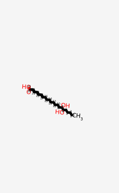 CCCCCC(O)C(O)CCCCCCCCC=CC=CC=CC(=O)O